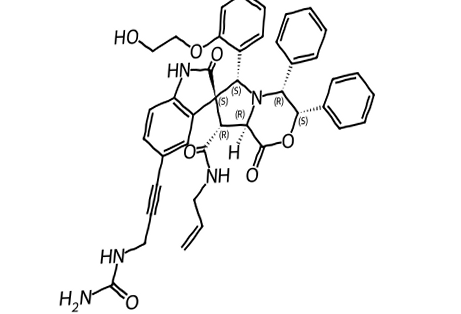 C=CCNC(=O)[C@H]1[C@@H]2C(=O)O[C@@H](c3ccccc3)[C@@H](c3ccccc3)N2[C@@H](c2ccccc2OCCO)[C@]12C(=O)Nc1ccc(C#CCNC(N)=O)cc12